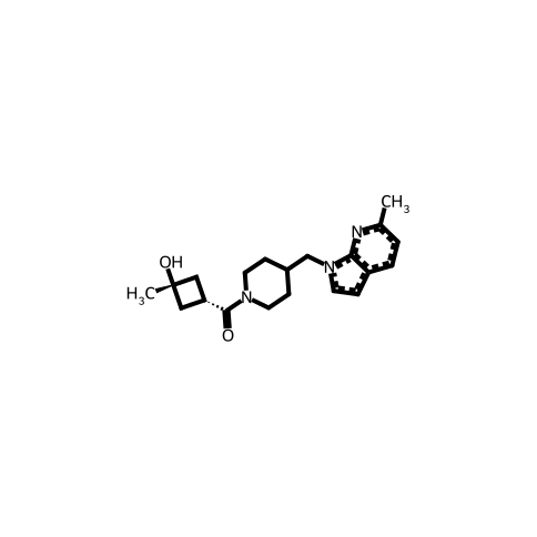 Cc1ccc2ccn(CC3CCN(C(=O)[C@H]4C[C@@](C)(O)C4)CC3)c2n1